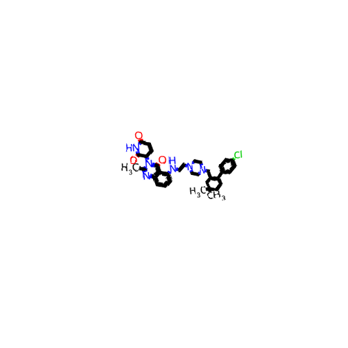 Cc1nc2cccc(NCCN3CCN(CC4=C(c5ccc(Cl)cc5)CCC(C)(C)C4)CC3)c2c(=O)n1C1CCC(=O)NC1=O